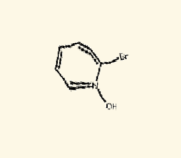 O[n+]1ccccc1Br